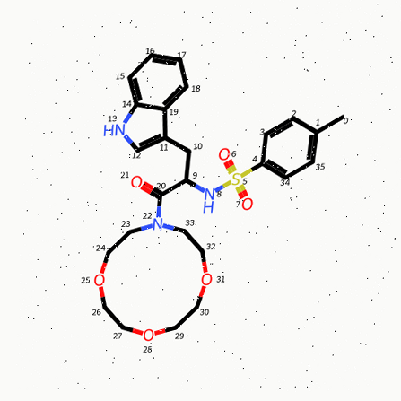 Cc1ccc(S(=O)(=O)NC(Cc2c[nH]c3ccccc23)C(=O)N2CCOCCOCCOCC2)cc1